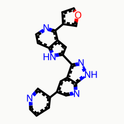 c1cncc(-c2cnc3[nH]nc(-c4cc5c(-c6ccoc6)nccc5[nH]4)c3c2)c1